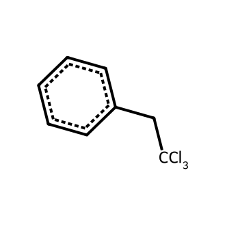 ClC(Cl)(Cl)Cc1ccccc1